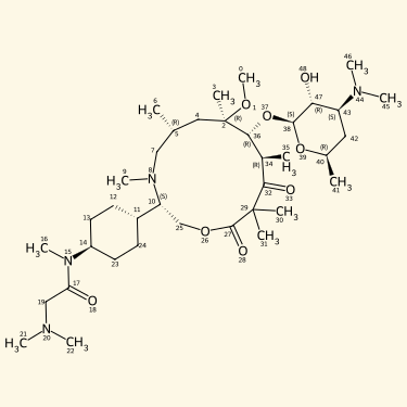 CO[C@]1(C)C[C@@H](C)CN(C)[C@@H]([C@H]2CC[C@H](N(C)C(=O)CN(C)C)CC2)COC(=O)C(C)(C)C(=O)[C@H](C)[C@H]1O[C@@H]1O[C@H](C)C[C@H](N(C)C)[C@H]1O